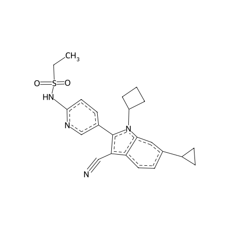 CCS(=O)(=O)Nc1ccc(-c2c(C#N)c3ccc(C4CC4)cc3n2C2CCC2)cn1